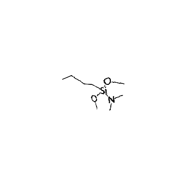 CCCC[Si](OC)(OC)N(C)C